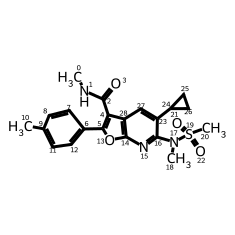 CNC(=O)c1c(-c2ccc(C)cc2)oc2nc(N(C)S(C)(=O)=O)c(C3CC3)cc12